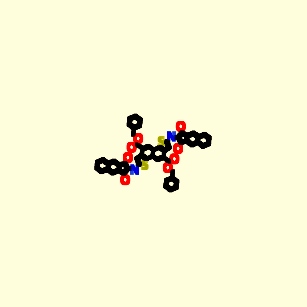 O=C(OCc1ccccc1)C1=CC2c3sc(N=c4c(=O)c5cc6ccccc6cc5c4=O)cc3C(C(=O)OCc3ccccc3)=CC2c2sc(N=c3c(=O)c4cc5ccccc5cc4c3=O)cc21